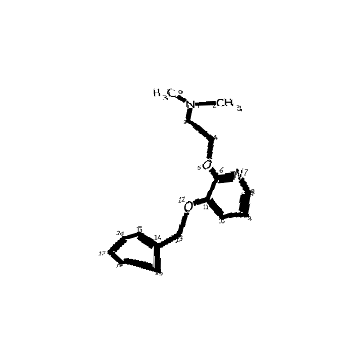 CN(C)CCOc1ncccc1OCc1ccccc1